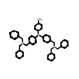 Cc1ccc(N(c2ccc(CN(Cc3ccccc3)Cc3ccccc3)cc2)c2ccc(CN(Cc3ccccc3)Cc3ccccc3)cc2)cc1